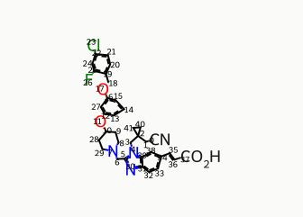 N#CCC1(Cn2c(CN3CCC(Oc4cccc(OCc5ccc(Cl)cc5F)c4)CC3)nc3ccc(/C=C/C(=O)O)cc32)CC1